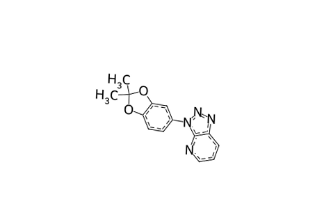 CC1(C)Oc2ccc(-n3nnc4cccnc43)cc2O1